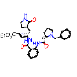 CCOC(=O)/C=C/[C@H](CC1CCNC1=O)NC(=O)c1ccccc1NC(=O)[C@@H]1CCCN1Cc1ccccc1